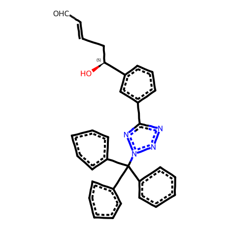 O=CC=CC[C@H](O)c1cccc(-c2nnn(C(c3ccccc3)(c3ccccc3)c3ccccc3)n2)c1